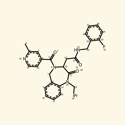 Cc1cc(C(=O)N2Cc3ccccc3N(CC(C)C)C(=O)C2CC(=O)NCc2ccccc2F)ccn1